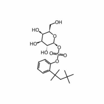 CC(C)(C)CC(C)(C)c1ccccc1OS(=O)(=O)O[C@@H]1O[C@H](CO)[C@H](O)[C@H](O)[C@H]1O